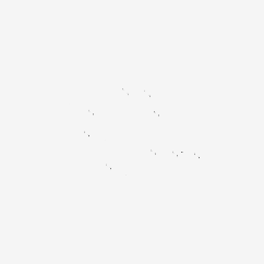 Cn1nc([N+](=O)[O-])c2c(N=[N+]=[N-])nnnc21